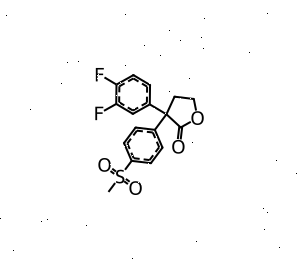 CS(=O)(=O)c1ccc(C2(c3ccc(F)c(F)c3)CCOC2=O)cc1